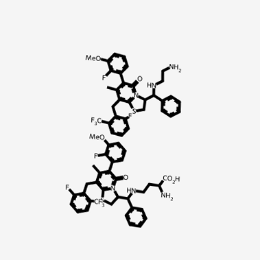 COc1cccc(-c2c(C)c(Cc3c(F)cccc3C(F)(F)F)c3n(c2=O)C(C(NCCC(N)C(=O)O)c2ccccc2)CS3)c1F.COc1cccc(-c2c(C)c(Cc3c(F)cccc3C(F)(F)F)c3n(c2=O)C(C(NCCN)c2ccccc2)CS3)c1F